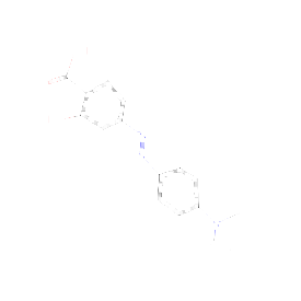 CN(C)c1ccc(/N=N/c2ccc(C(=O)O)c(O)c2)cc1